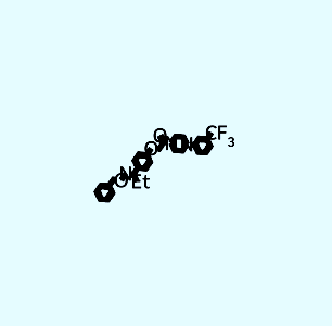 CC/C(=N\OCc1ccccc1)c1ccc(OCC(=O)N2CCN(c3cccc(C(F)(F)F)c3)CC2)cc1